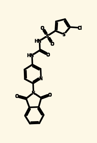 O=C(Nc1ccc(N2C(=O)c3ccccc3C2=O)nc1)NS(=O)(=O)c1ccc(Cl)s1